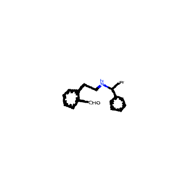 CC(C)C(NCCc1ccccc1C=O)c1ccccc1